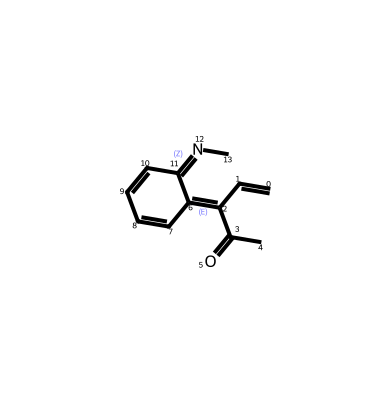 C=C/C(C(C)=O)=C1/C=CC=C/C1=N/C